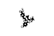 COC[C@@H](c1ccc(Cl)cc1)N(C(=O)CCc1ccc(C(=O)OC)cn1)C(CSC(C)(C)C)C1CC1